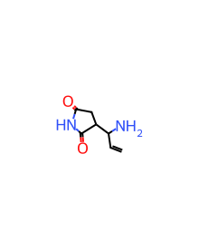 C=CC(N)C1CC(=O)NC1=O